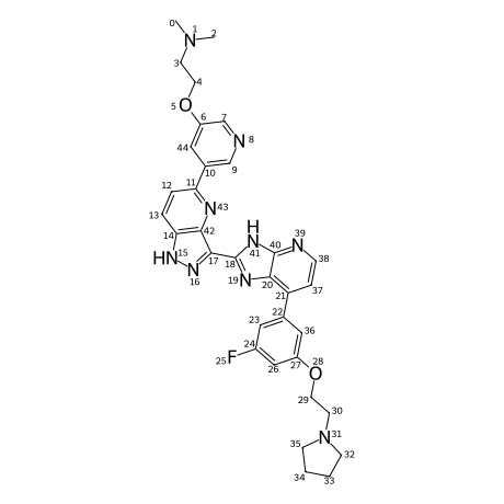 CN(C)CCOc1cncc(-c2ccc3[nH]nc(-c4nc5c(-c6cc(F)cc(OCCN7CCCC7)c6)ccnc5[nH]4)c3n2)c1